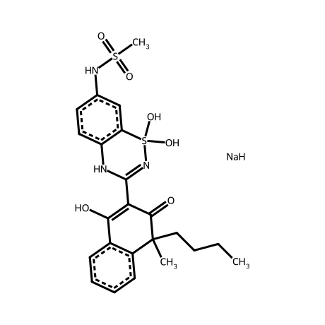 CCCCC1(C)C(=O)C(C2=NS(O)(O)c3cc(NS(C)(=O)=O)ccc3N2)=C(O)c2ccccc21.[NaH]